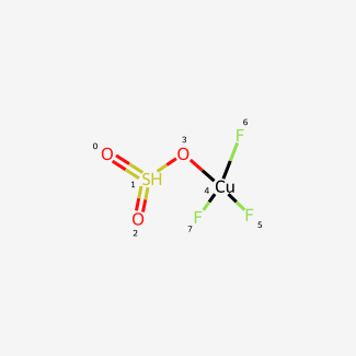 O=[SH](=O)[O][Cu]([F])([F])[F]